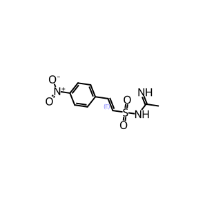 CC(=N)NS(=O)(=O)/C=C/c1ccc([N+](=O)[O-])cc1